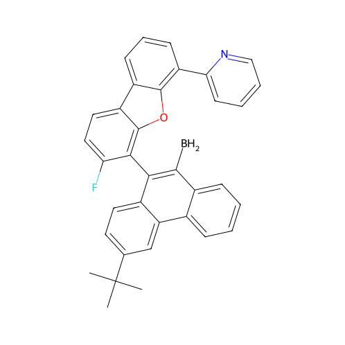 Bc1c(-c2c(F)ccc3c2oc2c(-c4ccccn4)cccc23)c2ccc(C(C)(C)C)cc2c2ccccc12